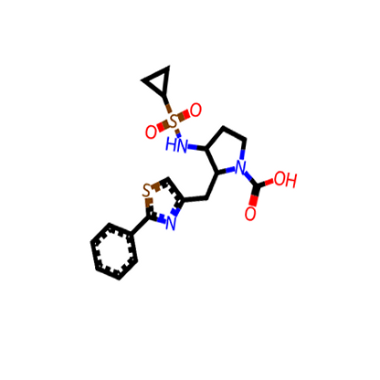 O=C(O)N1CCC(NS(=O)(=O)C2CC2)C1Cc1csc(-c2ccccc2)n1